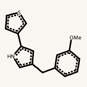 COc1cccc(Cc2c[nH]c(-c3ccsc3)c2)c1